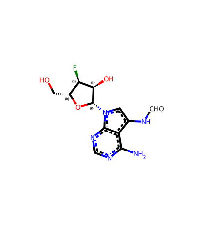 Nc1ncnc2c1c(NC=O)cn2[C@@H]1O[C@H](CO)[C@@H](F)[C@H]1O